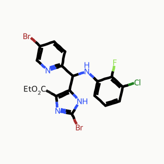 CCOC(=O)c1nc(Br)[nH]c1C(Nc1cccc(Cl)c1F)c1ccc(Br)cn1